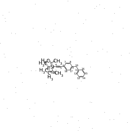 CC(C)[Si](C#Cc1ccc(Cc2ccccc2)cc1)(C(C)C)C(C)C